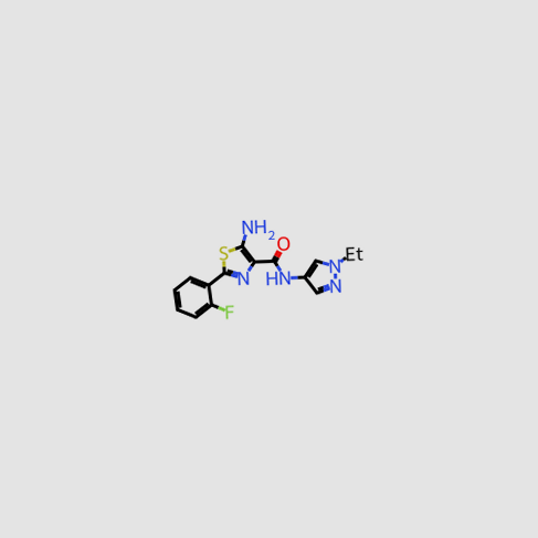 CCn1cc(NC(=O)c2nc(-c3ccccc3F)sc2N)cn1